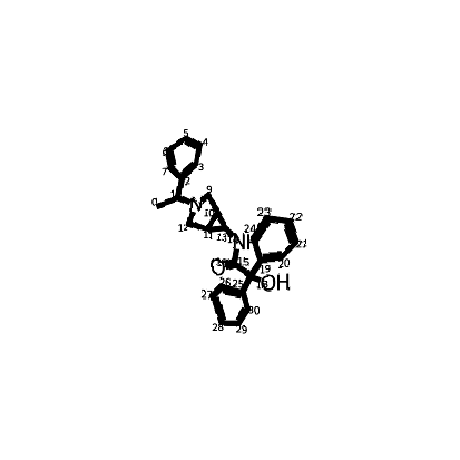 CC(c1ccccc1)N1CC2C(C1)C2NC(=O)C(O)(c1ccccc1)c1ccccc1